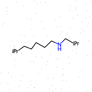 CC(C)CCCCCNCC(C)C